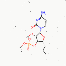 CCC[C@H]1O[C@@H](n2ccc(N)nc2=O)[C@@H](OC)C1OP(=O)(O)OC